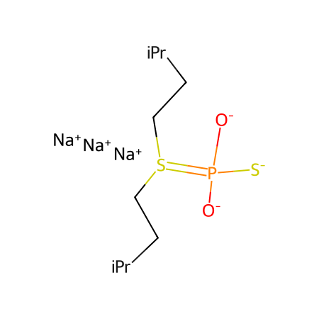 CC(C)CCS(CCC(C)C)=P([O-])([O-])[S-].[Na+].[Na+].[Na+]